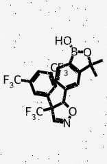 CC1(C)OB(O)c2ccc(C3ON=CC3(c3cc(C(F)(F)F)cc(C(F)(F)F)c3)C(F)(F)F)cc21